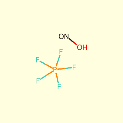 FP(F)(F)(F)F.O=NO